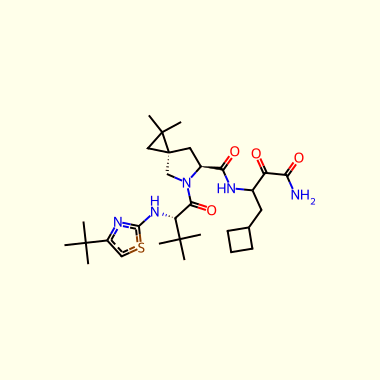 CC(C)(C)c1csc(N[C@H](C(=O)N2C[C@]3(C[C@H]2C(=O)NC(CC2CCC2)C(=O)C(N)=O)CC3(C)C)C(C)(C)C)n1